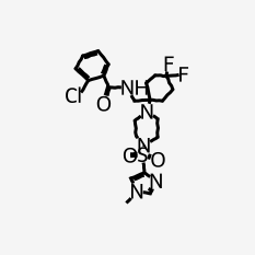 Cn1cnc(S(=O)(=O)N2CCN(C3(CNC(=O)c4ccccc4Cl)CCC(F)(F)CC3)CC2)c1